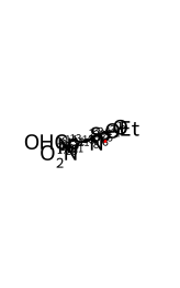 CCOCOc1ccc2nc(C#Cc3ccc(N(C)C=O)c([N+](=O)[O-])c3)sc2c1